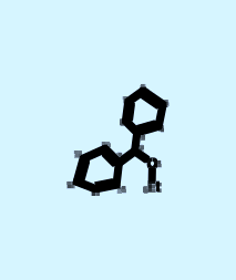 CCOC(c1cc[c]cc1)c1ccccc1